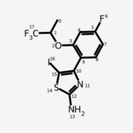 CC(Oc1cc(F)ccc1-c1nc(N)sc1I)C(F)(F)F